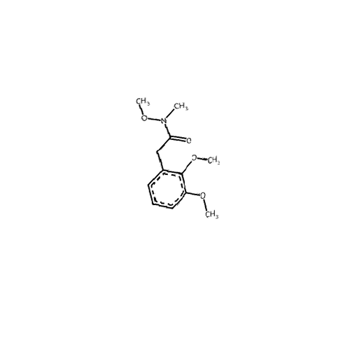 COc1cccc(CC(=O)N(C)OC)c1OC